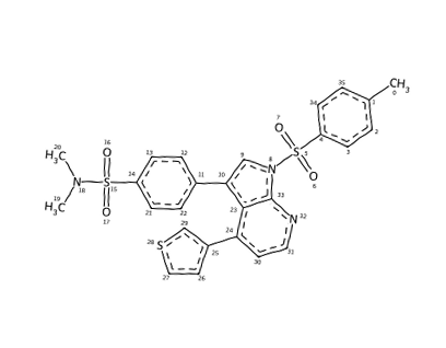 Cc1ccc(S(=O)(=O)n2cc(-c3ccc(S(=O)(=O)N(C)C)cc3)c3c(-c4ccsc4)ccnc32)cc1